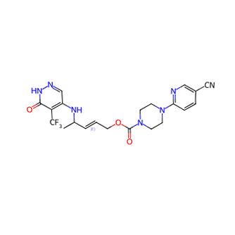 CC(/C=C/COC(=O)N1CCN(c2ccc(C#N)cn2)CC1)Nc1cn[nH]c(=O)c1C(F)(F)F